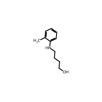 Cc1ccccc1NCCCCO